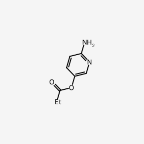 CCC(=O)Oc1ccc(N)nc1